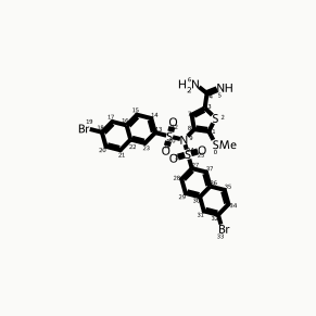 CSc1sc(C(=N)N)cc1N(S(=O)(=O)c1ccc2cc(Br)ccc2c1)S(=O)(=O)c1ccc2cc(Br)ccc2c1